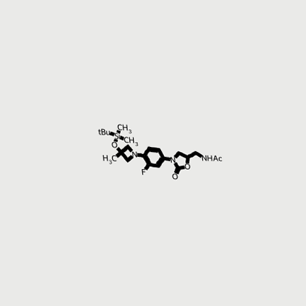 CC(=O)NCC1CN(c2ccc(N3CC(C)(O[Si](C)(C)C(C)(C)C)C3)c(F)c2)C(=O)O1